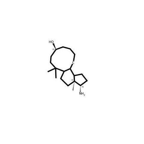 CC1(C)CC[C@@H](O)CCCCC2C1CC[C@@]1(C)C2CC[C@@H]1N